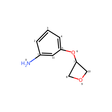 Nc1cccc(OC2COC2)c1